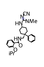 CN/C(=N\C#N)N[C@H]1CC[C@](CNC(=O)c2ccccc2OC(C)C)(c2ccccc2)CC1